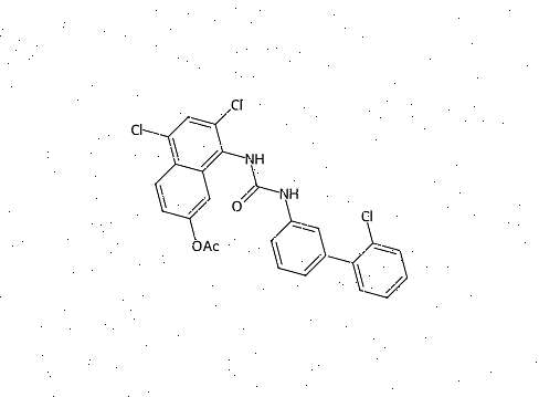 CC(=O)Oc1ccc2c(Cl)cc(Cl)c(NC(=O)Nc3cccc(-c4ccccc4Cl)c3)c2c1